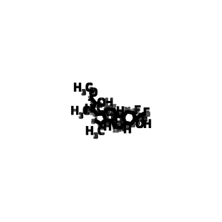 COC[C@@H](O)[C@@H](C)[C@H]1C[C@H](C)[C@H]2[C@@H]3CC[C@@H]4C[C@@](O)(C(F)(F)F)CC[C@@H]4[C@H]3CC[C@@]21C